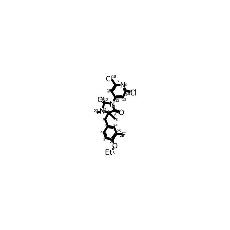 CCOc1ccc(CC2(C)C(=O)N(c3cc(Cl)nc(Cl)c3)C(=O)N2C)cc1F